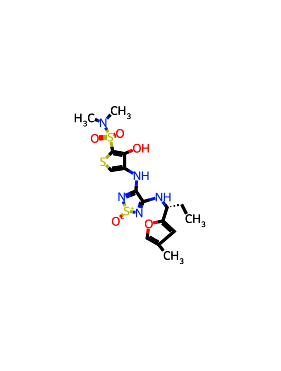 CC[C@@H](Nc1n[s+]([O-])nc1Nc1csc(S(=O)(=O)N(C)C)c1O)c1cc(C)co1